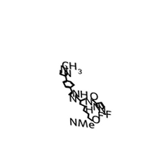 CNC(=O)CCCCCC(CNC(=O)c1ccn(C(F)F)n1)c1ncc(-c2ccc(-c3ccn(C)n3)cc2)[nH]1